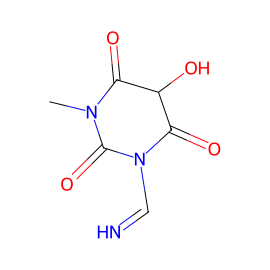 CN1C(=O)C(O)C(=O)N(C=N)C1=O